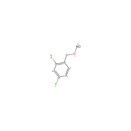 O=NOCc1ccc(F)cc1F